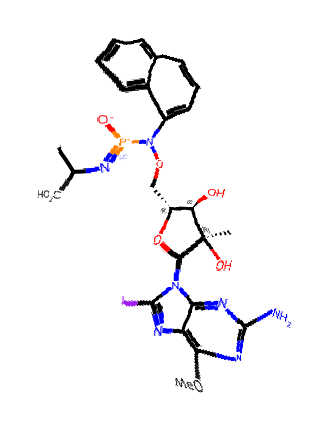 COc1nc(N)nc2c1nc(I)n2C1O[C@H](CON(c2cccc3ccccc23)/[P+]([O-])=N/C(C)C(=O)O)[C@@H](O)[C@@]1(C)O